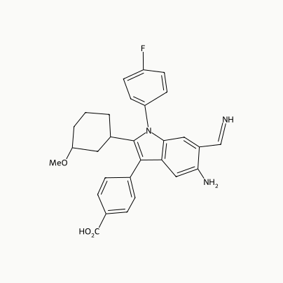 COC1CCCC(c2c(-c3ccc(C(=O)O)cc3)c3cc(N)c(C=N)cc3n2-c2ccc(F)cc2)C1